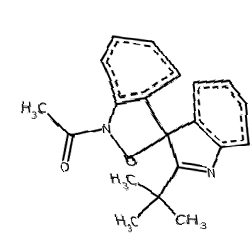 CC(=O)N1C(=O)C2(C(C(C)(C)C)=Nc3ccccc32)c2ccccc21